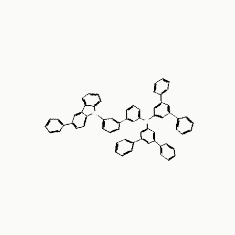 c1ccc(-c2cc(-c3ccccc3)cc(N(c3cccc(-c4cccc(-n5c6ccccc6c6cc(-c7ccccc7)ccc65)c4)c3)c3cc(-c4ccccc4)cc(-c4ccccc4)c3)c2)cc1